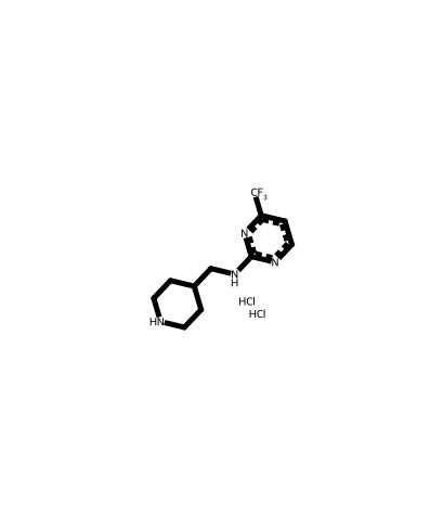 Cl.Cl.FC(F)(F)c1ccnc(NCC2CCNCC2)n1